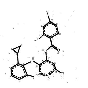 Cc1cccc(C2CC2)c1Oc1nnc(Cl)cc1OC(=O)c1ccc(F)cc1F